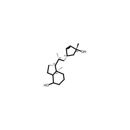 C[C@H](C[C@@H]1C=C[C@](C)(O)C1)[C@H]1CCC2C(O)CCC[C@@]21C